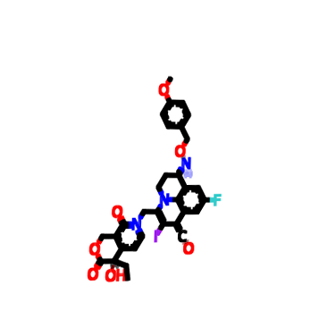 CC[C@@]1(O)C(=O)OCc2c1ccn(CC1=C(I)C(=C=O)c3cc(F)cc4c3N1CC/C4=N\OCc1ccc(OC)cc1)c2=O